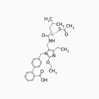 CCOc1nc(CC)c(CNC(=O)[C@@H](CSC(C)=O)CC(C)C)n1Cc1ccc(-c2ccccc2C(=O)O)cc1